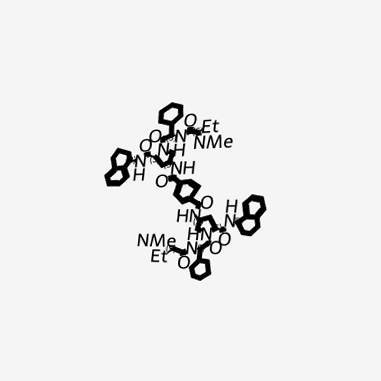 CC[C@H](NC)C(=O)N[C@H](C(=O)N1C[C@@H](NC(=O)c2ccc(C(=O)N[C@H]3C[C@@H](C(=O)N[C@@H]4CCCc5ccccc54)N(C(=O)[C@@H](NC(=O)[C@H](CC)NC)C4CCCCC4)C3)cc2)C[C@H]1C(=O)N[C@@H]1CCCc2ccccc21)C1CCCCC1